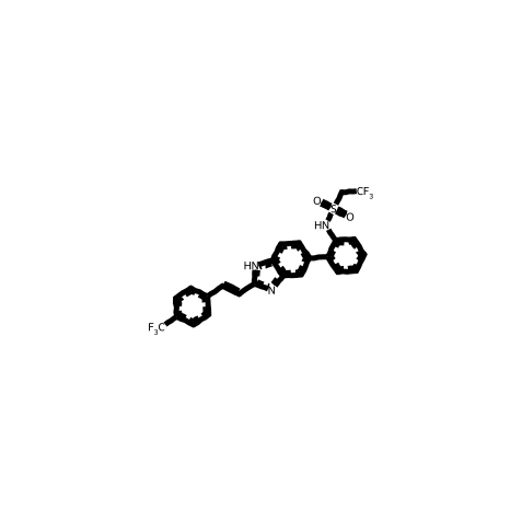 O=S(=O)(CC(F)(F)F)Nc1ccccc1-c1ccc2[nH]c(/C=C/c3ccc(C(F)(F)F)cc3)nc2c1